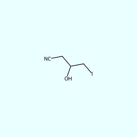 N#CCC(O)CI